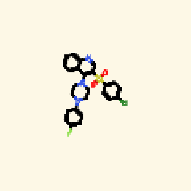 O=S(=O)(c1ccc(Cl)cc1)c1cnc2ccccc2c1N1CCN(c2ccc(F)cc2)CC1